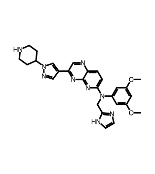 COc1cc(OC)cc(N(Cc2ncc[nH]2)c2ccc3ncc(-c4cnn(C5CCNCC5)c4)nc3n2)c1